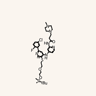 CN1CCN(CCC(=O)Nc2cc(Nc3cc(-c4cc(Cl)ccc4F)nnc3SCCOCCO[Si](C)(C)C(C)(C)C)ccn2)CC1